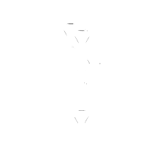 COc1ccc2nccc([C@@H](F)CCC3CCN(CCSc4cccc(F)c4)CC3C(=O)O)c2c1